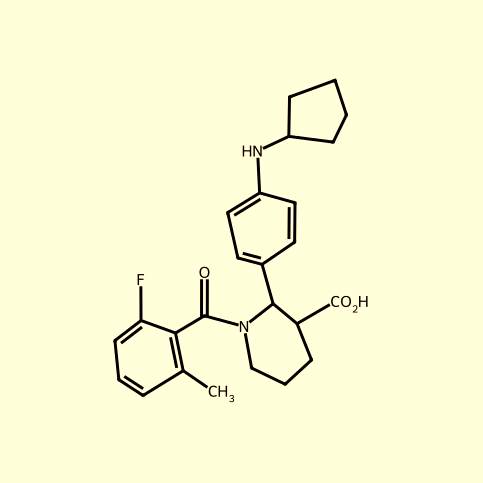 Cc1cccc(F)c1C(=O)N1CCCC(C(=O)O)C1c1ccc(NC2CCCC2)cc1